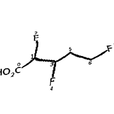 O=C(O)C(F)C(F)CCF